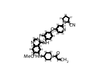 C=CC(=O)N1CCC(Nc2cc3c(Nc4ccc(Oc5ccnc(N6CCC[C@H]6C#N)c5)cc4F)ncnc3cc2OC)CC1